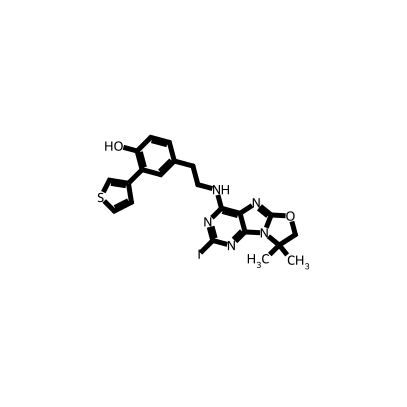 CC1(C)COc2nc3c(NCCc4ccc(O)c(-c5ccsc5)c4)nc(I)nc3n21